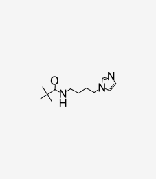 CC(C)(C)C(=O)NCCCCn1ccnc1